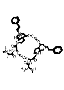 CN[C@@H](C)C(=O)N[C@H]1CCCC[C@H](NC(=O)[C@H](N)NC)C(=O)N2CCC3C(CN(CCc4ccccc4)C[C@H]32)OCCOC2CN(CCc3ccccc3)C[C@@H]3[C@H]2CCN3C1=O